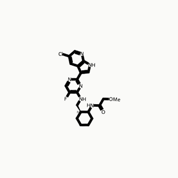 COCC(=O)NC1CCCC[C@H]1CNc1nc(-c2c[nH]c3ncc(Cl)cc23)ncc1F